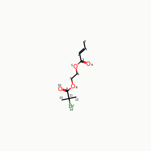 CC=CC(=O)OCCOC(=O)C(C)(C)Br